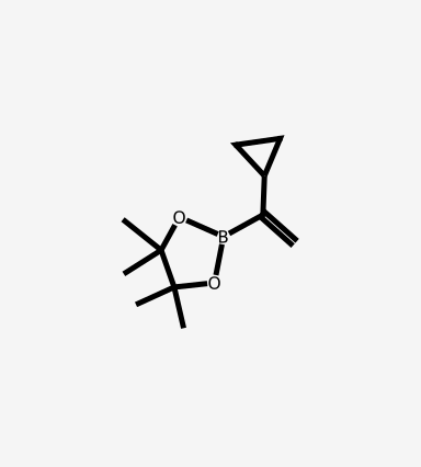 C=C(B1OC(C)(C)C(C)(C)O1)C1CC1